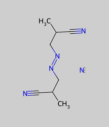 CC(C#N)CN=NCC(C)C#N.[N]